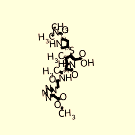 CCOC(=O)c1nnnn1CC(=O)NC(C)[C@H]1C(=O)N2C(C(=O)O)=C(S[C@@H]3CN[C@H](C(=O)N(C)C)C3)[C@H](C)[C@H]12